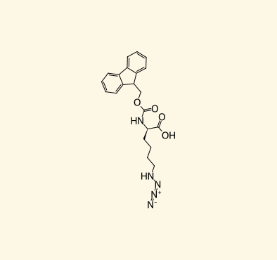 [N-]=[N+]=NNCCCC[C@@H](NC(=O)OCC1c2ccccc2-c2ccccc21)C(=O)O